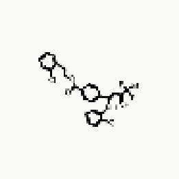 CCC(F)(F)C(=N)/C=C(\Nc1ccccc1Cl)c1ccc(C(=O)OCCc2ccccc2Cl)cc1